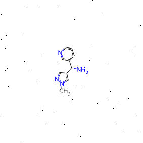 Cn1cc(C(N)c2cccnc2)cn1